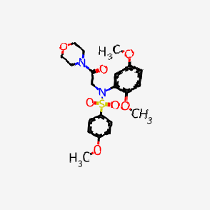 COc1ccc(S(=O)(=O)N(CC(=O)N2CCOCC2)c2cc(OC)ccc2OC)cc1